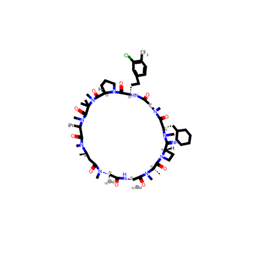 CC[C@H](C)[C@@H]1NC(=O)[C@H]([C@@H](C)CC)N(C)C(=O)C[C@@H](C)N(C)C(=O)C(C(C)C)N(C)C(=O)C(C)(C)N(C)C(=O)[C@@H]2CCCN2C(=O)[C@H](CCc2ccc(C(F)(F)F)c(Cl)c2)NC(=O)CN(C)C(=O)[C@H](CC2CCCCC2)N(C)C(=N)[C@@H]2CCN2C(=O)[C@H](C)N(C)C1=O